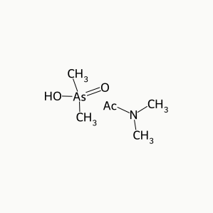 CC(=O)N(C)C.C[As](C)(=O)O